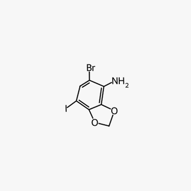 Nc1c(Br)cc(I)c2c1OCO2